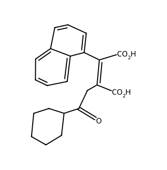 O=C(O)C(CC(=O)C1CCCCC1)=C(C(=O)O)c1cccc2ccccc12